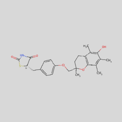 Cc1c(C)c2c(c(C)c1O)CCC(C)(COc1ccc(C[C@@H]3SC(=O)NC3=O)cc1)O2